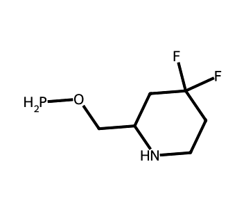 FC1(F)CCNC(COP)C1